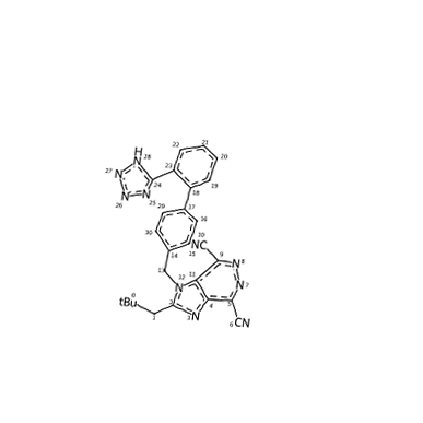 CC(C)(C)Cc1nc2c(C#N)nnc(C#N)c2n1Cc1ccc(-c2ccccc2-c2nnn[nH]2)cc1